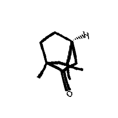 CC12CC[C@@H](CC1=O)C2(C)C